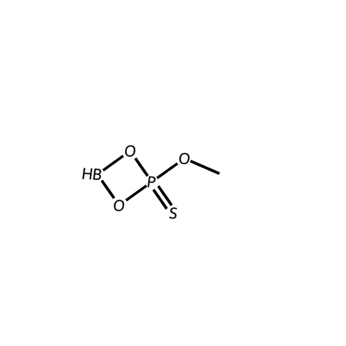 COP1(=S)OBO1